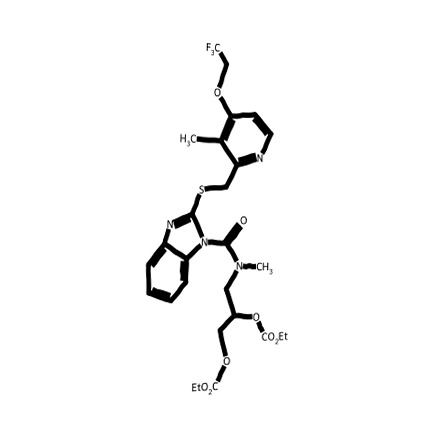 CCOC(=O)OCC(CN(C)C(=O)n1c(SCc2nccc(OCC(F)(F)F)c2C)nc2ccccc21)OC(=O)OCC